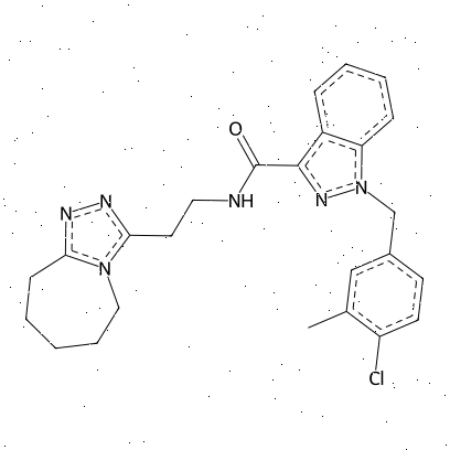 Cc1cc(Cn2nc(C(=O)NCCc3nnc4n3CCCCC4)c3ccccc32)ccc1Cl